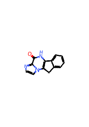 O=c1[nH]c2c(n3ccnc13)[C]c1ccccc1-2